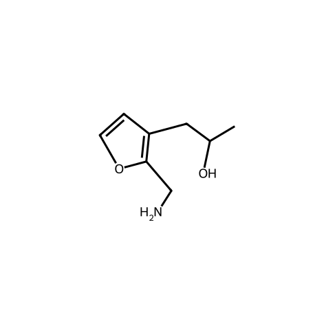 CC(O)Cc1ccoc1CN